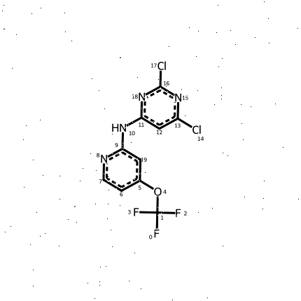 FC(F)(F)Oc1ccnc(Nc2cc(Cl)nc(Cl)n2)c1